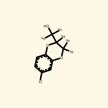 [2H]C([2H])(O)C1([2H])Oc2ccc(Cl)cc2OC1([2H])[2H]